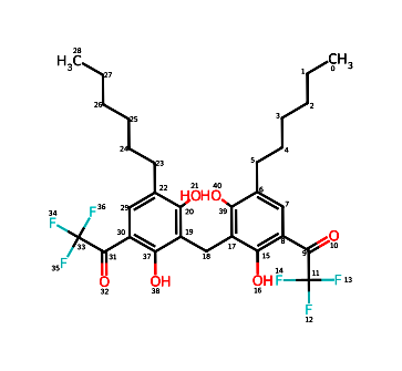 CCCCCCc1cc(C(=O)C(F)(F)F)c(O)c(Cc2c(O)c(CCCCCC)cc(C(=O)C(F)(F)F)c2O)c1O